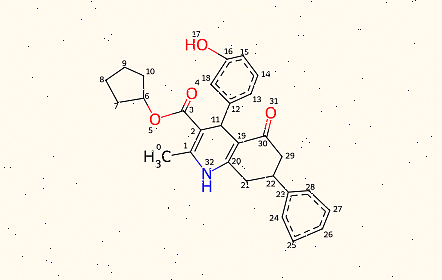 CC1=C(C(=O)OC2CCCC2)C(c2cccc(O)c2)C2=C(CC(c3ccccc3)CC2=O)N1